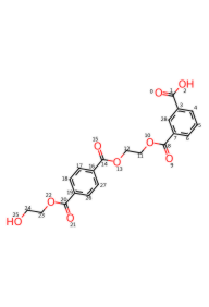 O=C(O)c1cccc(C(=O)OCCOC(=O)c2ccc(C(=O)OCCO)cc2)c1